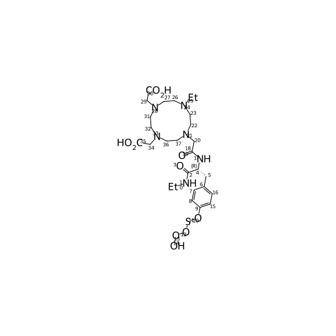 CCNC(=O)[C@@H](Cc1ccc(OSOOO)cc1)NC(=O)CN1CCN(CC)CCN(CC(=O)O)CCN(CC(=O)O)CC1